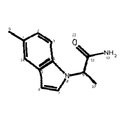 Cc1ccc2c(ccn2C(C)C(N)=O)c1